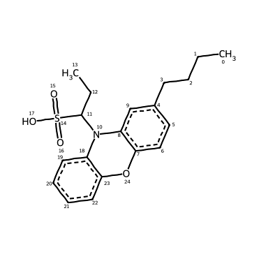 CCCCc1ccc2c(c1)N(C(CC)S(=O)(=O)O)c1ccccc1O2